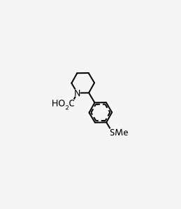 CSc1ccc(C2CCCCN2C(=O)O)cc1